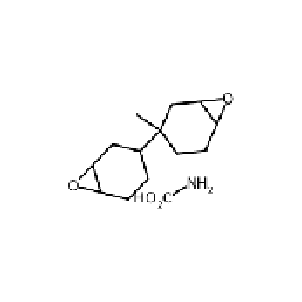 CC1(C2CCC3OC3C2)CCC2OC2C1.NC(=O)O